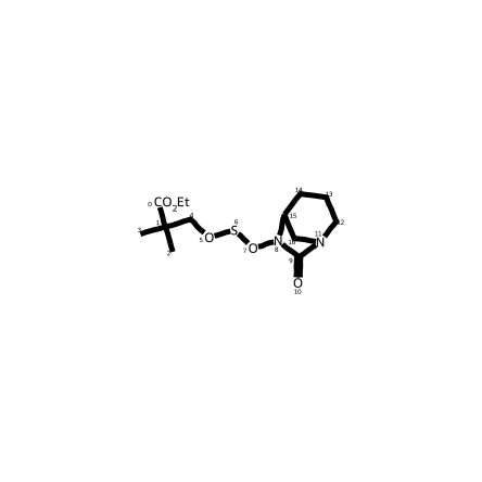 CCOC(=O)C(C)(C)COSON1C(=O)N2CCCC1C2